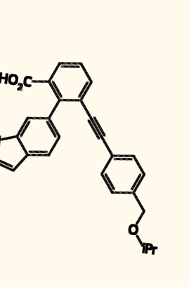 CC(C)OCc1ccc(C#Cc2cccc(C(=O)O)c2-c2ccc3cc[nH]c3c2)cc1